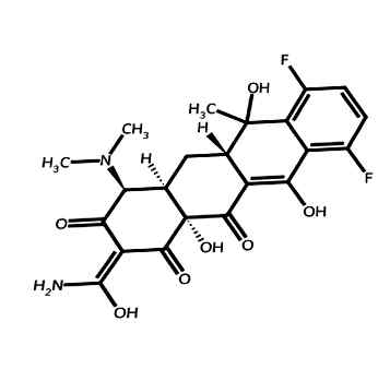 CN(C)[C@@H]1C(=O)/C(=C(\N)O)C(=O)[C@]2(O)C(=O)C3=C(O)c4c(F)ccc(F)c4C(C)(O)[C@H]3C[C@H]12